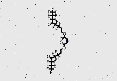 O=C(/C=C\C(=O)OCCC(F)(F)C(F)(F)C(=O)C(F)(F)C(F)(F)C(F)(F)F)OCCC(F)(F)C(F)(F)C(=O)C(F)(F)C(F)(F)C(F)(F)F